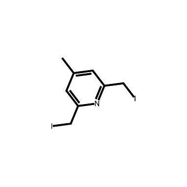 Cc1cc(CI)nc(CI)c1